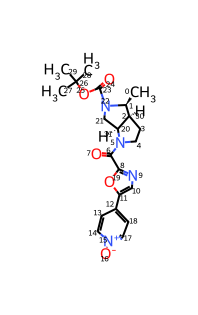 C[C@H]1[C@H]2CCN(C(=O)c3ncc(-c4cc[n+]([O-])cc4)o3)[C@H]2CN1C(=O)OC(C)(C)C